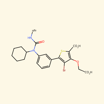 CCCNC(=O)N(c1cccc(-c2sc(C(=O)O)c(OCC(=O)O)c2Br)c1)C1CCCCC1